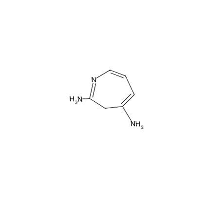 NC1=CC=CN=C(N)C1